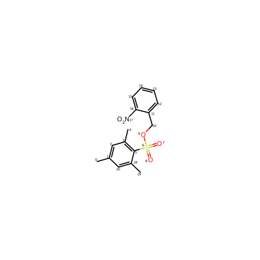 Cc1cc(C)c(S(=O)(=O)OCc2ccccc2[N+](=O)[O-])c(C)c1